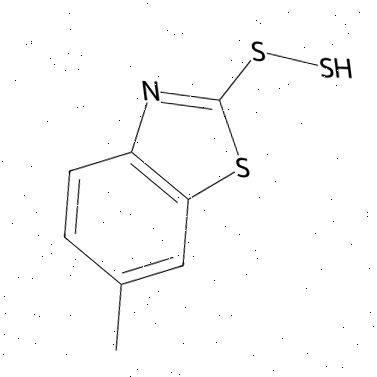 Cc1ccc2nc(SS)sc2c1